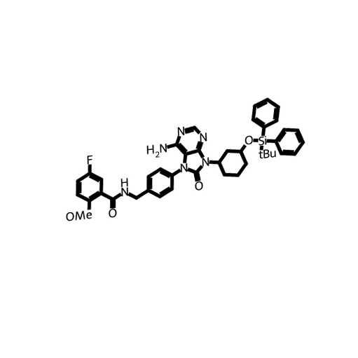 COc1ccc(F)cc1C(=O)NCc1ccc(-n2c(=O)n(C3CCCC(O[Si](c4ccccc4)(c4ccccc4)C(C)(C)C)C3)c3ncnc(N)c32)cc1